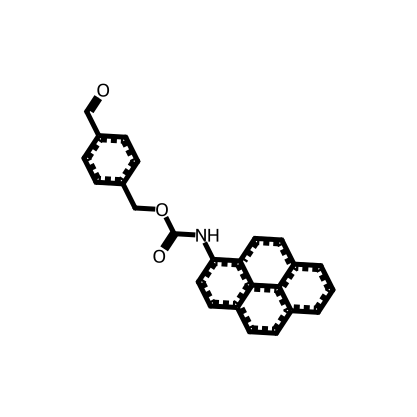 O=Cc1ccc(COC(=O)Nc2ccc3ccc4cccc5ccc2c3c45)cc1